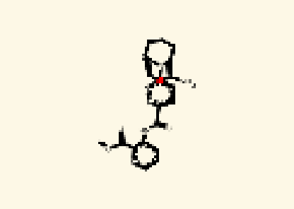 COC(=O)c1ncccc1NC(=O)c1ccc(N2C3=CCC(N)=C2CCC3)nn1